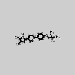 CC(=O)C(C)(C)COc1ccc(C2CC=C(c3nc(Cl)c(Cl)[nH]3)C=N2)cc1